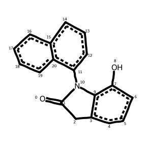 O=C1Cc2cccc(O)c2N1c1cccc2ccccc12